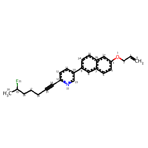 C=CCOc1ccc2cc(-c3ccc(C#CCCCC(C)F)nc3)ccc2c1